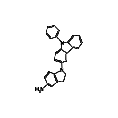 Nc1ccc2c(c1)CCN2c1ccc2c(c1)c1ccccc1n2-c1ccccc1